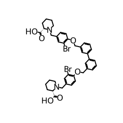 O=C(O)[C@@H]1CCCCN1Cc1ccc(OCc2cccc(-c3cccc(COc4ccc(CN5CCCC[C@H]5C(=O)O)cc4Br)c3)c2)c(Br)c1